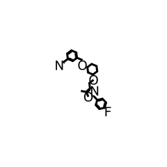 Cc1oc(-c2ccc(F)cc2)nc1CO[C@H]1CCC[C@@H](OCc2cccc(C#N)c2)C1